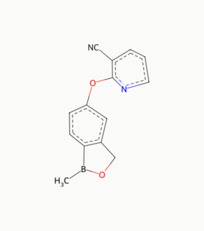 CB1OCc2cc(Oc3ncccc3C#N)ccc21